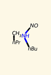 CCCC.CCCCNN=O